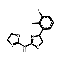 Cc1c(F)cccc1C1COC(NC2=NCCO2)=N1